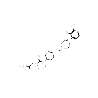 O=C(O)CNC(=O)N[C@H]1CC[C@H](CCN2CCN(c3cccc(Cl)c3Cl)CC2)CC1